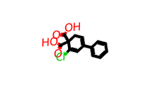 O=C(O)C1(C(=O)O)CC=C(c2ccccc2)C=C1Cl